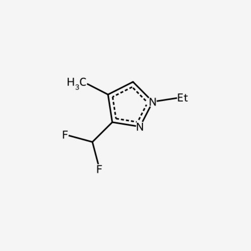 CCn1cc(C)c(C(F)F)n1